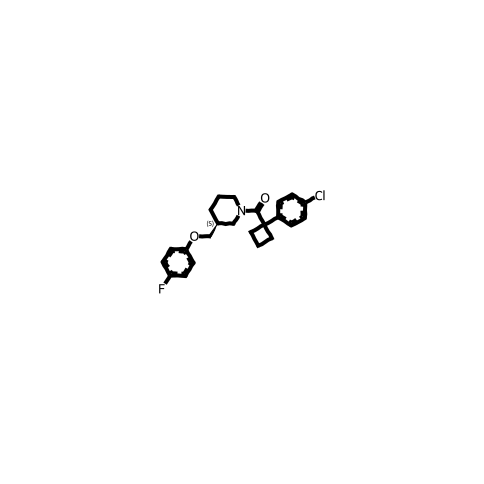 O=C(N1CCC[C@H](COc2ccc(F)cc2)C1)C1(c2ccc(Cl)cc2)CCC1